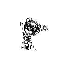 CNC(=O)c1ccc(CN(CCCN2CCCC2)C(=O)CNC(=O)CN(CCc2ccccc2)S(=O)(=O)c2ccc(Cl)c(C)c2Cl)cc1